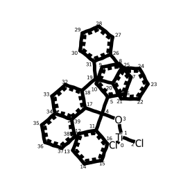 [Cl][Ti]([Cl])[O]C(c1ccccc1)(c1ccccc1)c1c(C2c3ccccc3-c3ccccc32)ccc2ccccc12